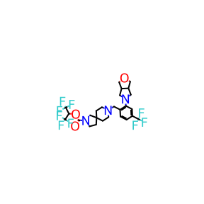 O=C(OC(C(F)(F)F)C(F)(F)F)N1CCC2(CCN(Cc3ccc(C(F)(F)F)cc3N3CC4COCC4C3)CC2)C1